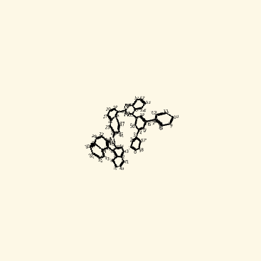 c1ccc(-c2cc(-c3ccccc3)cc(-c3nc(-c4cccc5cc(-n6c7ccc8ccccc8c7c7c8ccccc8ccc76)ccc45)nc4ccccc34)c2)cc1